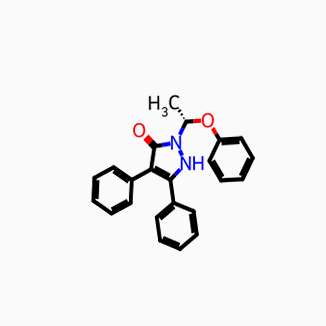 C[C@H](Oc1ccccc1)n1[nH]c(-c2ccccc2)c(-c2ccccc2)c1=O